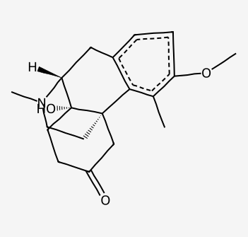 COc1ccc2c(c1C)[C@]13CCN(C)[C@H](C2)[C@]1(O)CCC(=O)C3